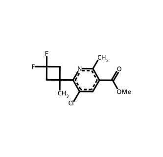 COC(=O)c1cc(Cl)c(C2(C)CC(F)(F)C2)nc1C